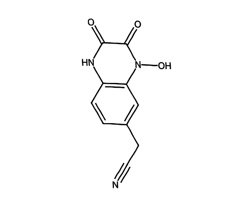 N#CCc1ccc2[nH]c(=O)c(=O)n(O)c2c1